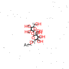 CC(=O)COC[C@H]1O[C@H](O[C@]2(CO)O[C@H](CO)[C@@H](O)[C@@H]2O)[C@H](O)[C@@H](O)[C@@H]1O